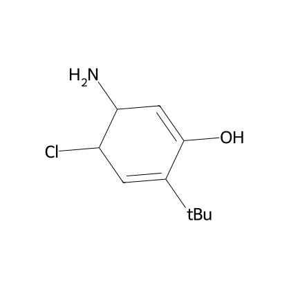 CC(C)(C)C1=CC(Cl)C(N)C=C1O